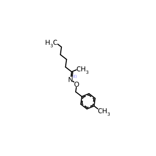 CCCCC/C(C)=N/OCc1ccc(C)cc1